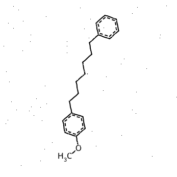 COc1ccc(CCC[CH]CCCc2ccccc2)cc1